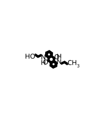 CCCCNc1cccc2c1C(=O)c1cccc(NCCCO)c1C2=O